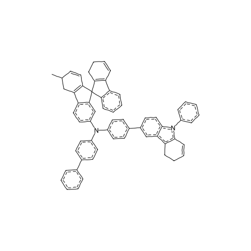 CC1C=CC2=C(C1)c1ccc(N(c3ccc(-c4ccccc4)cc3)c3ccc(-c4ccc5c(c4)c4c(n5-c5ccccc5)C=CCC4)cc3)cc1C21C2=C(C=CCC2)c2ccccc21